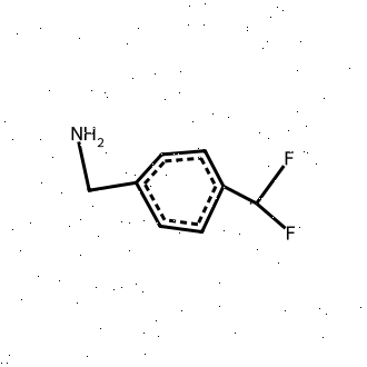 NCc1ccc([C](F)F)cc1